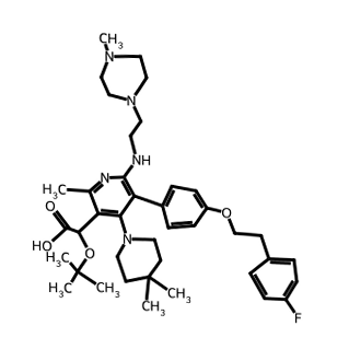 Cc1nc(NCCN2CCN(C)CC2)c(-c2ccc(OCCc3ccc(F)cc3)cc2)c(N2CCC(C)(C)CC2)c1C(OC(C)(C)C)C(=O)O